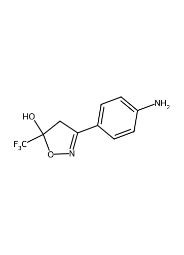 Nc1ccc(C2=NOC(O)(C(F)(F)F)C2)cc1